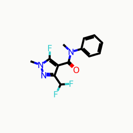 CN(C(=O)c1c(C(F)F)nn(C)c1F)c1ccccc1